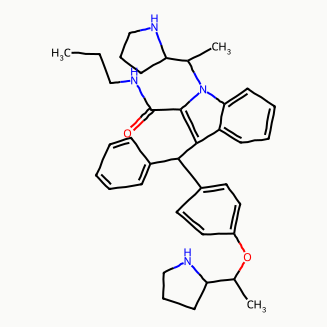 CCCNC(=O)c1c(C(c2ccccc2)c2ccc(OC(C)C3CCCN3)cc2)c2ccccc2n1C(C)C1CCCN1